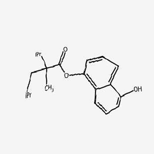 CC(C)CC(C)(C(=O)Oc1cccc2c(O)cccc12)C(C)C